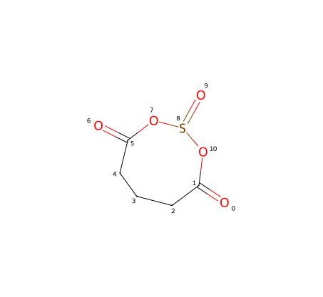 O=C1CCCC(=O)OS(=O)O1